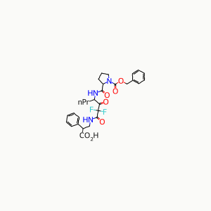 CCCC(NC(=O)C1CCCN1C(=O)OCc1ccccc1)C(=O)C(F)(F)C(=O)NCC(C(=O)O)c1ccccc1